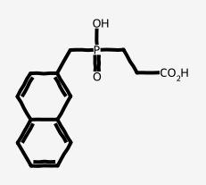 O=C(O)CCP(=O)(O)Cc1ccc2ccccc2c1